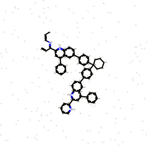 C=C/C(=N\C=C/C)c1cc(-c2ccccc2)c2cc(-c3ccc(C4(c5ccc(-c6ccc7nc(-c8ccccn8)cc(-c8ccccc8)c7c6)cc5)CCCCC4)cc3)ccc2n1